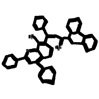 C=C(/C=C(/c1ccccc1)c1ccc2c(-c3ccccc3)cc(-c3ccccc3)nc2c1N)c1cc2ccccc2c2ccccc12